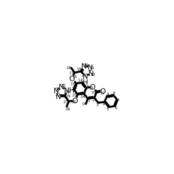 Cc1c(Cc2ccccc2)c(=O)oc2cc(OC(C)c3nnn[nH]3)cc(OC(C)c3nnn[nH]3)c12